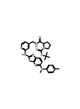 Cc1ccc(N(C)c2ccc3nc(Nc4cc(CNC(=O)C5CCCN5C(=O)OC(C)(C)C)ccn4)sc3n2)cc1